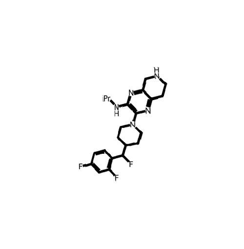 CC(C)Nc1nc2c(nc1N1CCC(C(F)c3ccc(F)cc3F)CC1)CCNC2